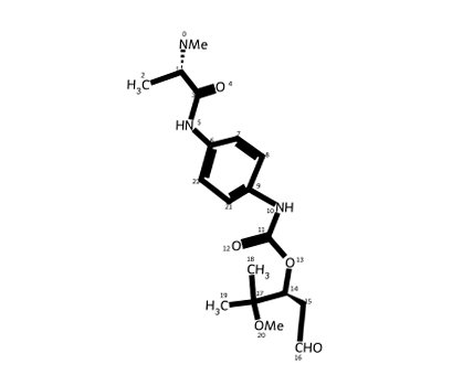 CN[C@@H](C)C(=O)Nc1ccc(NC(=O)O[C@@H](CC=O)C(C)(C)OC)cc1